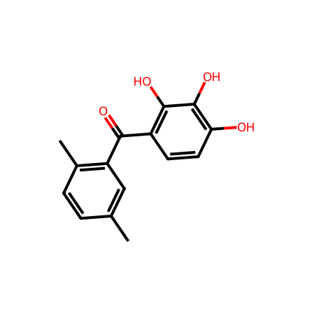 Cc1ccc(C)c(C(=O)c2ccc(O)c(O)c2O)c1